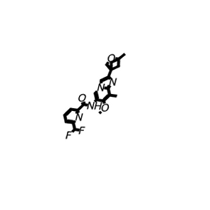 COc1c(NC(=O)c2cccc(C(F)F)n2)cn2cc(C34COC(C)(C3)C4)nc2c1C